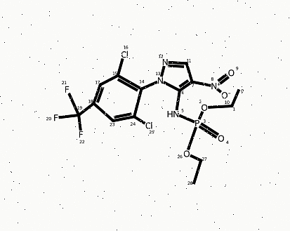 CCOP(=O)(Nc1c([N+](=O)[O-])cnn1-c1c(Cl)cc(C(F)(F)F)cc1Cl)OCC